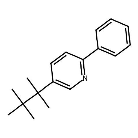 CC(C)(C)C(C)(C)c1ccc(-c2ccccc2)nc1